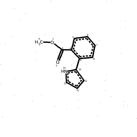 COC(=O)c1ccccc1-c1ccc[nH]1